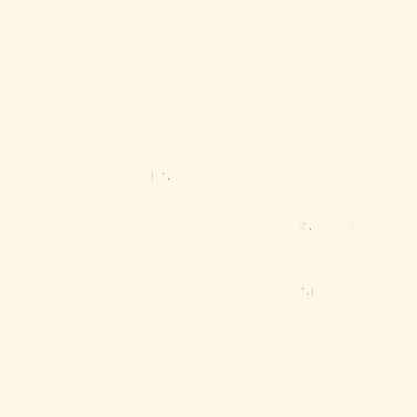 CC(C)(C)[S+]([O-])NC(c1ccccc1)c1cc(C(=N)NO)cs1